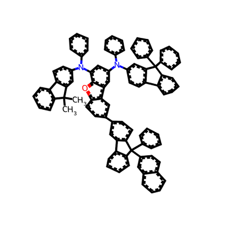 CC1(C)c2ccccc2-c2ccc(N(c3ccccc3)c3cc(N(c4ccccc4)c4ccc5c(c4)C(c4ccccc4)(c4ccccc4)c4ccccc4-5)cc4c3oc3ccc(-c5ccc6c(c5)-c5ccccc5C6(c5ccccc5)c5ccc6ccccc6c5)cc34)cc21